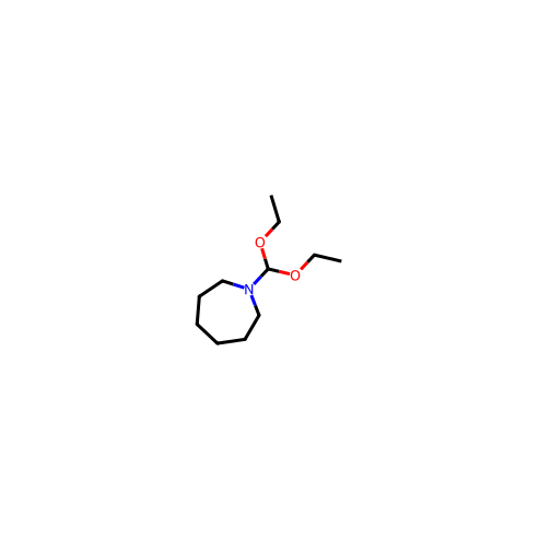 CCOC(OCC)N1CCCCCC1